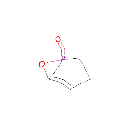 O=P12CCC=C1O2